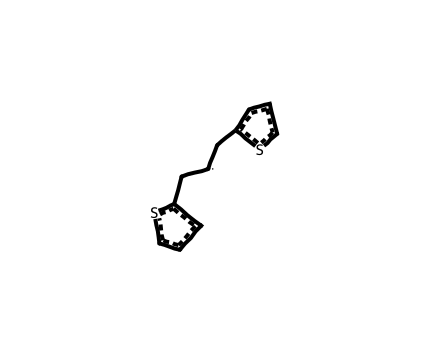 [CH](Cc1cccs1)Cc1cccs1